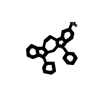 Cc1ccc2c(c1)c1c(n2-c2ccccc2)Cc2c(c3ccccc3n2-c2ccccc2)C=C1